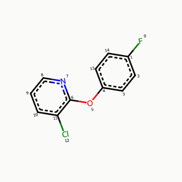 Fc1ccc(Oc2ncccc2Cl)cc1